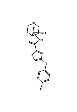 O=C(N[C@H]1CN2CCC1CC2)c1nc(Sc2ccc(F)cc2)co1